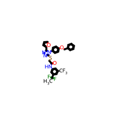 CC(F)(F)c1cc(NC(=O)CSc2nnc(-c3ccco3)n2-c2ccc(OCc3ccccc3)cc2)cc(C(F)(F)F)c1